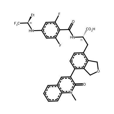 CC[C@@H](Nc1cc(F)c(C(=O)N[C@@H](Cc2ccc(-c3cc4ccccc4n(C)c3=O)c3c2COC3)C(=O)O)c(F)c1)C(F)(F)F